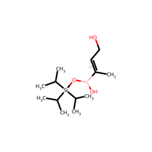 C/C(=C\CO)B(O)O[Si](C(C)C)(C(C)C)C(C)C